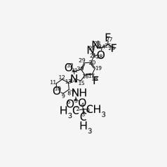 CC(C)(C)OC(=O)N[C@@H]1COCC[C@H]1N1Cc2c(F)cc(-c3nnc(C(F)F)o3)cc2C1=O